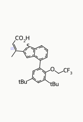 C/C(=C/C(=O)O)c1cc2c(-c3cc(C(C)(C)C)cc(C(C)(C)C)c3OCC(F)(F)F)cccc2s1